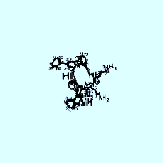 CN1C(=O)C(CCCCN)NC(=O)C(CCCN)NCc2ccccc2Sc2c(cc(-c3ccccc3)cc2C(F)(F)F)CNC(=O)C1Cc1c[nH]c2ccccc12